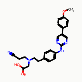 COc1ccc(-c2cnc(Nc3ccc(CCN(CCC#N)CC(O)O)cc3)nc2)cc1